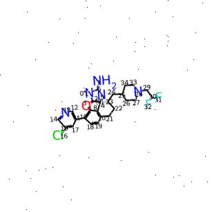 CN1C(=O)[C@@]2(N=C1N)c1cc(-c3cncc(Cl)c3)ccc1CCC2CC1CCN(CC(F)F)CC1